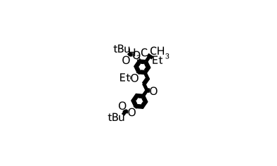 CCOc1cc(OC(=O)C(C)(C)C)c(C(C)(C)CC)cc1/C=C/C(=O)c1ccc(OC(=O)C(C)(C)C)cc1